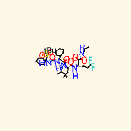 C=CCNC(=O)C(=O)[C@H](CCCC(F)F)NC(=O)[C@@H]1CC(C)(C)C(C)CN1C(=O)[C@@H](NC(=O)NC1(CS(=O)(=O)C(C)(C)C)CCCCC1)C1CCCCC1